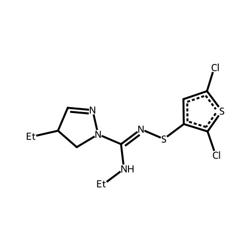 CCN/C(=N\Sc1cc(Cl)sc1Cl)N1CC(CC)C=N1